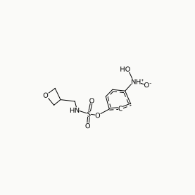 O=S(=O)(NCC1COC1)Oc1ccc([NH+]([O-])O)cc1